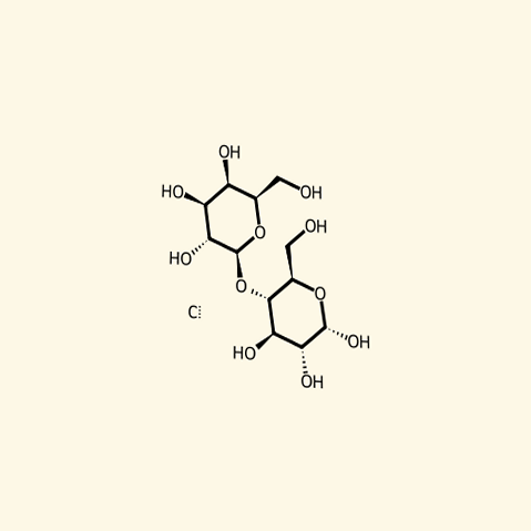 OC[C@H]1O[C@@H](O[C@H]2[C@H](O)[C@@H](O)[C@@H](O)O[C@@H]2CO)[C@H](O)[C@@H](O)[C@H]1O.[C]